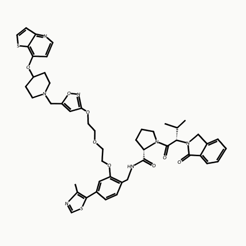 Cc1ncsc1-c1ccc(CNC(=O)[C@@H]2CCCN2C(=O)[C@H](C(C)C)N2Cc3ccccc3C2=O)c(OCCOCCOc2cc(CN3CCC(Oc4ccnc5ccsc45)CC3)on2)c1